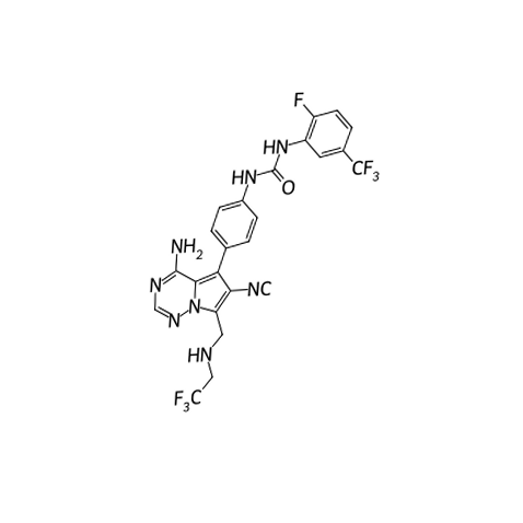 [C-]#[N+]c1c(-c2ccc(NC(=O)Nc3cc(C(F)(F)F)ccc3F)cc2)c2c(N)ncnn2c1CNCC(F)(F)F